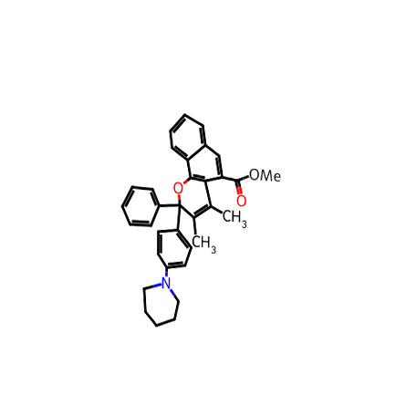 COC(=O)c1cc2ccccc2c2c1C(C)=C(C)C(c1ccccc1)(c1ccc(N3CCCCC3)cc1)O2